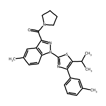 Cc1cccc(-c2nc(-n3nc(C(=O)N4CCCC4)c4cc(C)ccc43)sc2C(C)C)c1